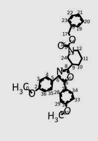 COc1ccc(-c2nc(C3CCCN(C(=O)OCc4ccccc4)C3)oc2-c2ccc(OC)cc2)cc1